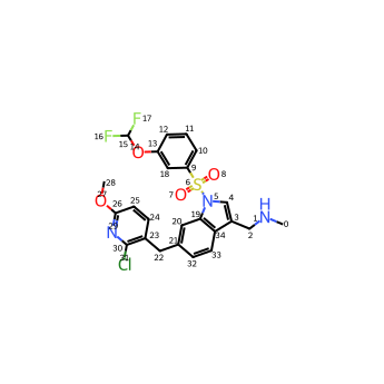 CNCc1cn(S(=O)(=O)c2cccc(OC(F)F)c2)c2cc(Cc3ccc(OC)nc3Cl)ccc12